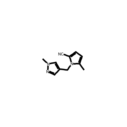 Cc1ccc(C#N)n1Cc1cnn(C)c1